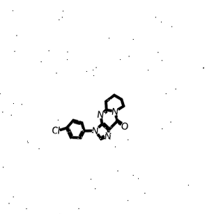 O=c1c2ncn(-c3ccc(Cl)cc3)c2nc2n1CCCC2